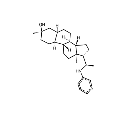 C[C@@H](Nc1cccnc1)[C@H]1CC[C@H]2[C@@H]3CC[C@@H]4C[C@](C)(O)CC[C@@H]4[C@H]3CC[C@]12C